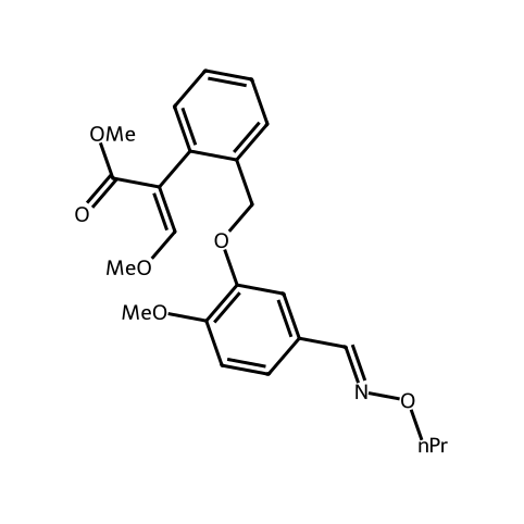 CCCON=Cc1ccc(OC)c(OCc2ccccc2C(=COC)C(=O)OC)c1